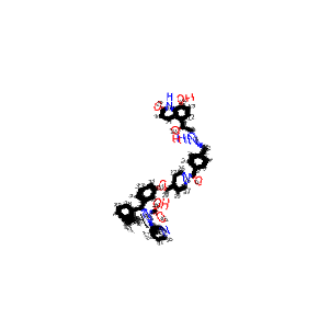 O=C(c1ccc(CNC[C@@H](O)c2ccc(O)c3[nH]c(=O)ccc23)cc1)N1CCC(COc2cccc(C(c3ccccc3)N(C(=O)O)[C@H]3CN4CCC3CC4)c2)CC1